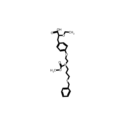 CCOC(Cc1ccc(OCCN(CCCSCc2ccccc2)C(=O)OC)cc1)C(=O)O